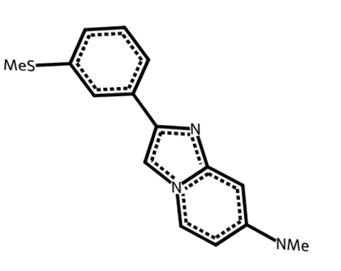 CNc1ccn2cc(-c3cccc(SC)c3)nc2c1